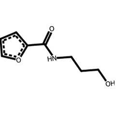 O=C(NCCCO)c1ccco1